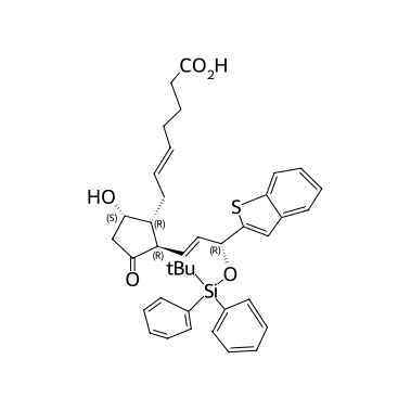 CC(C)(C)[Si](O[C@H](C=C[C@H]1C(=O)C[C@H](O)[C@@H]1CC=CCCCC(=O)O)c1cc2ccccc2s1)(c1ccccc1)c1ccccc1